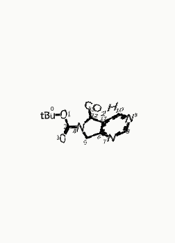 CC(C)(C)OC(=O)N1Cc2ncncc2C1C(=O)O